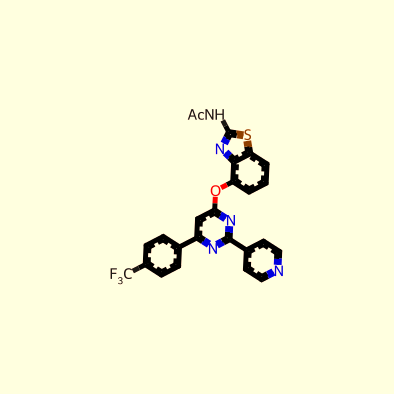 CC(=O)Nc1nc2c(Oc3cc(-c4ccc(C(F)(F)F)cc4)nc(-c4ccncc4)n3)cccc2s1